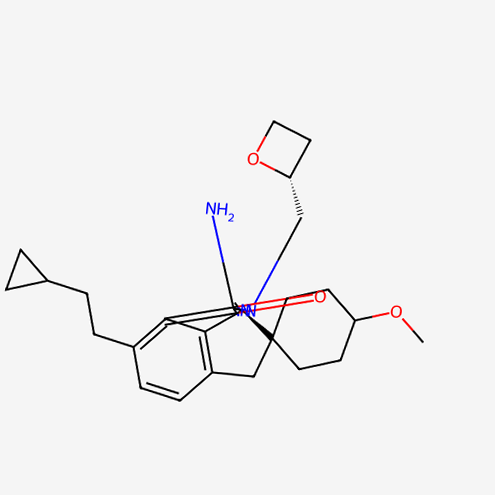 COC1CCC2(CC1)Cc1ccc(CCC3CC3)cc1[C@]21N=C(N)N(C[C@H]2CCO2)C1=O